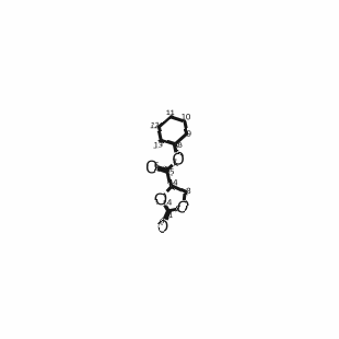 O=C1OCC(C(=O)OC2CCCCC2)O1